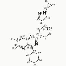 Cc1nc2nc([C@H]3CCO[C@@H](c4cnn(C5CC5)c4)C3)nc(C3CCCCC3)c2nc1C